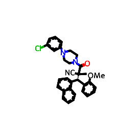 COc1ccccc1[C@H](c1cccc2ccccc12)C(C)(C#N)C(=O)N1CCN(c2cccc(Cl)c2)CC1